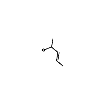 C/C=C/C(C)[O]